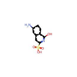 Nc1ccc2c(O)nc(S(=O)(=O)O)cc2c1